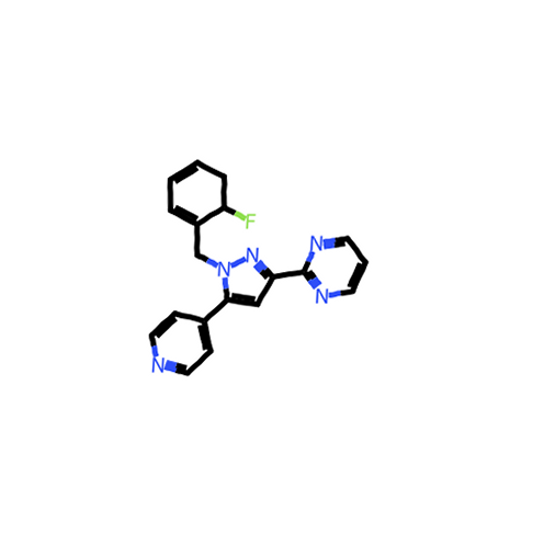 FC1CC=CC=C1Cn1nc(-c2ncccn2)cc1-c1ccncc1